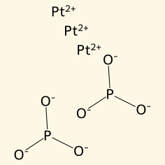 [O-]P([O-])[O-].[O-]P([O-])[O-].[Pt+2].[Pt+2].[Pt+2]